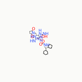 N=C1NC2[C@H](CN3C(=O)CCC3=O)NC(=N)N3C[C@H](OC(=O)NCC(c4ccccc4)c4ccccc4)[C@@H](O)C23N1